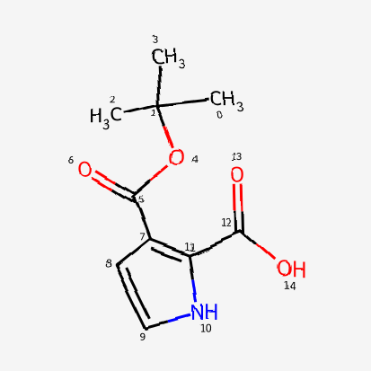 CC(C)(C)OC(=O)c1cc[nH]c1C(=O)O